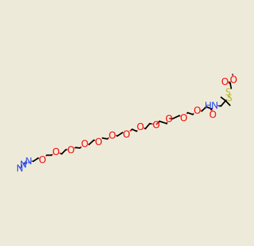 COC(=O)CSSC(C)(C)CNC(=O)CCOCCOCCOCCOCCOCCOCCOCCOCCOCCOCCOCCOCCN=[N+]=[N-]